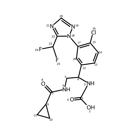 O=C(O)NC(CNC(=O)C1CC1)c1ccc(Cl)c(-n2ncnc2C(F)F)c1